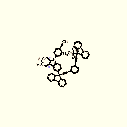 C#Cc1ccc(-n2c(=C/C)/c(=C\C)c3cc(C4(C#Cc5cccc(C#CC6(C(C)(C)CC)c7ccccc7-c7ccccc76)c5)c5ccccc5-c5ccccc54)ccc32)cc1